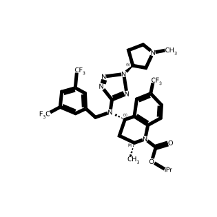 CC(C)OC(=O)N1c2ccc(C(F)(F)F)cc2[C@@H](N(Cc2cc(C(F)(F)F)cc(C(F)(F)F)c2)c2nnn([C@H]3CCN(C)C3)n2)C[C@H]1C